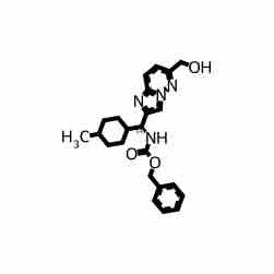 CC1CCC([C@H](NC(=O)OCc2ccccc2)c2cn3nc(CO)ccc3n2)CC1